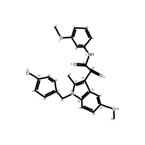 COc1cccc(NC(=O)C(=O)c2c(C)n(Cc3ccc(Cl)cc3)c3ccc(OC)cc23)c1